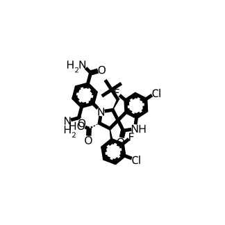 CC(C)(C)C[C@@H]1N(c2cc(C(N)=O)ccc2C(N)=O)[C@@H](C(=O)O)[C@H](c2cccc(Cl)c2F)C12C(=O)Nc1cc(Cl)cc(F)c12